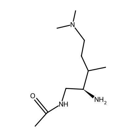 CC(=O)NC[C@H](N)C(C)CCN(C)C